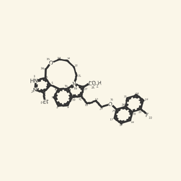 CCc1n[nH]c2c1-c1cccc3c(CCCOc4cccc5c(F)cccc45)c(C(=O)O)n(c13)CCCCOC2